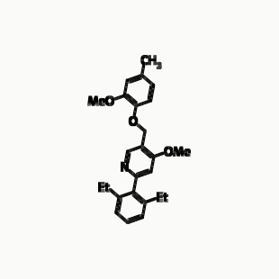 CCc1cccc(CC)c1-c1cc(OC)c(COc2ccc(C)cc2OC)cn1